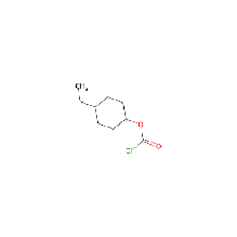 CCC1CCC(OC(=O)Cl)CC1